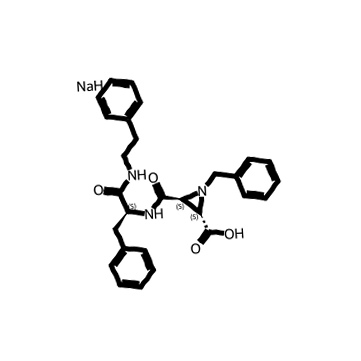 O=C(NCCc1ccccc1)[C@H](Cc1ccccc1)NC(=O)[C@@H]1[C@@H](C(=O)O)N1Cc1ccccc1.[NaH]